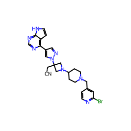 N#CCC1(n2cc(-c3ncnc4[nH]ccc34)cn2)CN(C2CCN(Cc3ccnc(Br)c3)CC2)C1